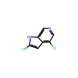 Clc1cc2c(Cl)cncc2[nH]1